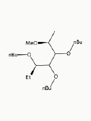 CCCCOC(C(OCCCC)[C@@H](CC)OCCCC)[C@H](C)OC